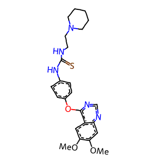 COc1cc2ncnc(Oc3ccc(NC(=S)NCCN4CCCCC4)cc3)c2cc1OC